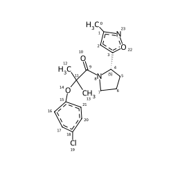 Cc1cc([C@@H]2CCCN2C(=O)C(C)(C)Oc2ccc(Cl)cc2)on1